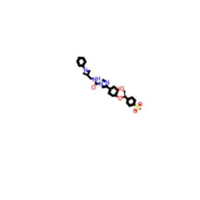 CS(=O)(=O)c1ccc([C@H](CO)Oc2ccc(-c3cn(C(=O)NCC4CN(c5ccccc5)C4)cn3)cc2)cc1